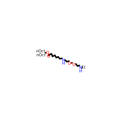 CCCCCCCCC(CCCCCCCC)OC(=O)CCCCCCCNCCCOCOCCCNCC